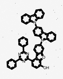 Oc1ccc(-c2nc(-c3ccccc3)nc(-c3ccccc3)n2)c2c1oc1cc(-n3c4ccccc4c4cc(-n5c6ccccc6c6ccccc65)ccc43)ccc12